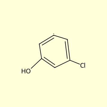 Oc1c[c]cc(Cl)c1